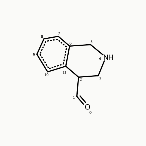 O=CC1CNCc2ccccc21